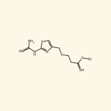 CCOC(=N)CCSCc1csc(NC(=N)N)n1